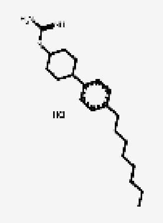 CCCCCCCCc1ccc(C2CCC(NC(=N)N)CC2)cc1.Cl